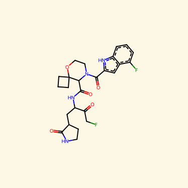 O=C1NCCC1CC(NC(=O)C1N(C(=O)c2cc3c(F)cccc3[nH]2)CCOC12CCC2)C(=O)CF